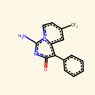 Nc1nc(=O)c(-c2ccccc2)c2cc(C(F)(F)F)ccn12